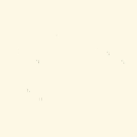 CN1C=CC=C2C(=O)N(Cc3ccc(-c4ccc5nccn5c4)cc3F)CC21